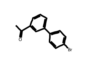 CC(=O)c1cccc(-c2ccc(Br)cc2)c1